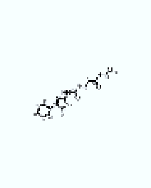 Cc1nc(NC(=O)NCCC(=O)NCC(F)(F)F)sc1-c1ccccc1